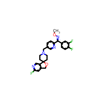 CO/N=C(/c1ccc(F)c(F)c1)c1ccc(CN2CCC3(CC2)OCc2cc(F)ncc23)cn1